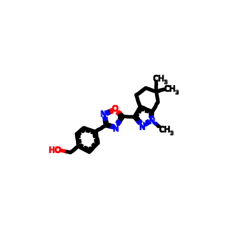 Cn1nc(-c2nc(-c3ccc(CO)cc3)no2)c2c1CC(C)(C)CC2